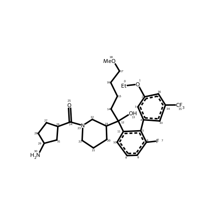 CCOc1cc(-c2c(F)cccc2C(O)(CCCCOC)C2CCCN(C(=O)C3CCC(N)C3)C2)cc(C(F)(F)F)c1